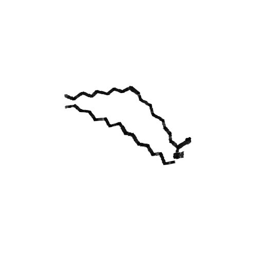 CCCCCCCC/C=C\CCCCCCCC(=O)O.CCCCCCCCCCCCCCCC